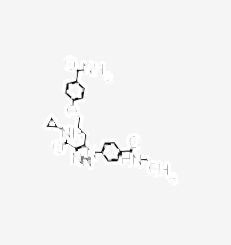 CCNC(=O)c1ccc(-n2nnc(C(=O)NC3CC3)c2CCCOc2ccc(C(N)=O)cc2)cc1